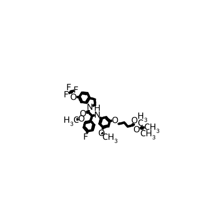 COc1cc(NC(C(=O)N2CCc3ccc(OC(F)(F)F)cc32)c2ccc(F)cc2OC)cc(OCCCC(=O)OC(C)(C)C)c1